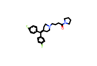 O=C(CCCN1CCC(=C(c2ccc(F)cc2)c2ccc(F)cc2)CC1)N1CCCC1